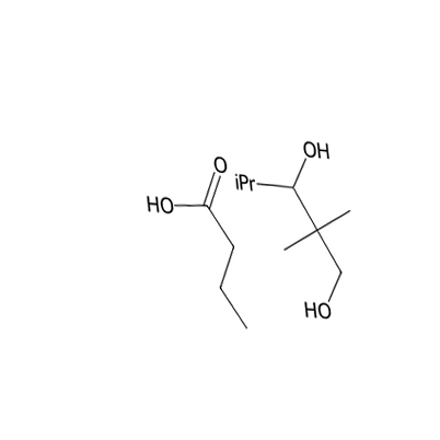 CC(C)C(O)C(C)(C)CO.CCCC(=O)O